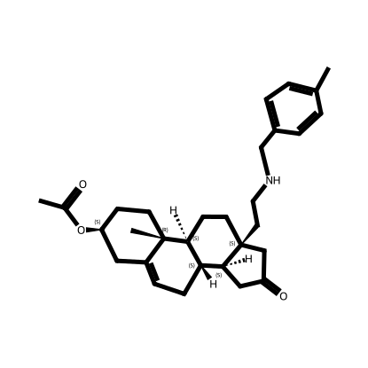 CC(=O)O[C@H]1CC[C@@]2(C)C(=CC[C@H]3[C@@H]4CC(=O)C[C@@]4(CCNCc4ccc(C)cc4)CC[C@@H]32)C1